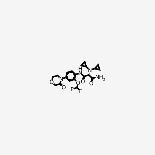 NC(=O)[C@H](C(=O)Nc1ccc(N2CCOCC2=O)cc1OC(F)F)N(C1CC1)C1CC1